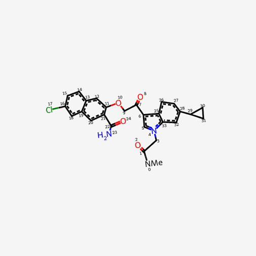 CNC(=O)Cn1cc(C(=O)COc2cc3ccc(Cl)cc3cc2C(N)=O)c2ccc(C3CC3)cc21